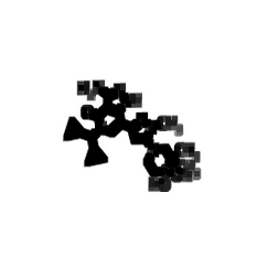 Cn1nc(-c2cn(C(C3CC3)C3CC3)c(=O)c3c(N)n[nH]c23)cc1N1CCS(O)(O)C(C)(C)C1